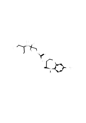 COc1ccc2c(c1)SC[C@@H](NC(=O)NCC(C)(C)NC(CO)CO)C(=O)N2C